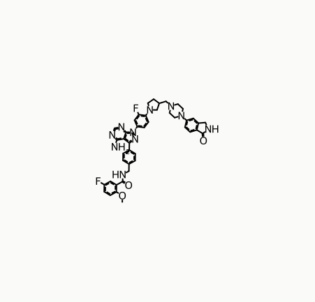 COc1ccc(F)cc1C(=O)NCc1ccc(-c2nn(-c3ccc(N4CCC(CN5CCN(c6ccc7c(c6)CNC7=O)CC5)C4)c(F)c3)c3ncnc(N)c23)cc1